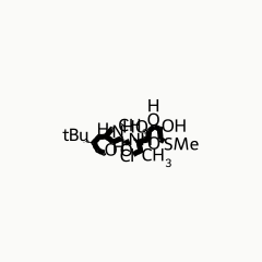 CSC1O[C@H]([C@H](NC(=O)[C@@H]2[C@@H]3OCC[C@H](CC(C)(C)C)C[C@H]3CN2C)[C@H](C)Cl)C(O)C(O)[C@H]1O